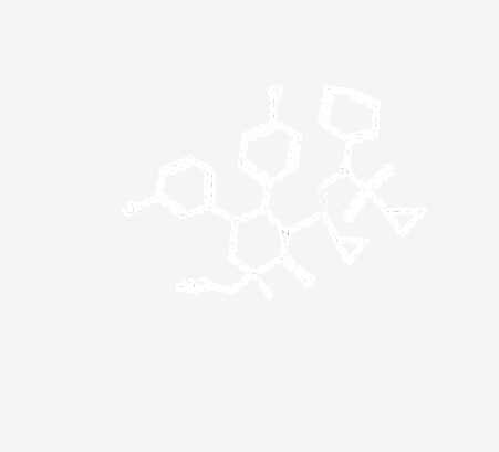 C[C@]1(CC(=O)O)C[C@H](c2cccc(Cl)c2)C(c2ccc(Cl)cc2)N([C@H](CN(c2ccccc2)S(=O)(=O)C2CC2)C2CC2)C1=O